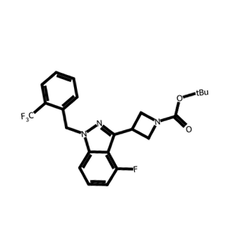 CC(C)(C)OC(=O)N1CC(c2nn(Cc3ccccc3C(F)(F)F)c3cccc(F)c23)C1